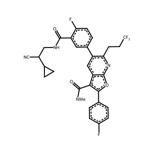 CNC(=O)c1c(-c2ccc(F)cc2)oc2nc(CCC(F)(F)F)c(-c3ccc(F)c(C(=O)NCC(C#N)C4CC4)c3)cc12